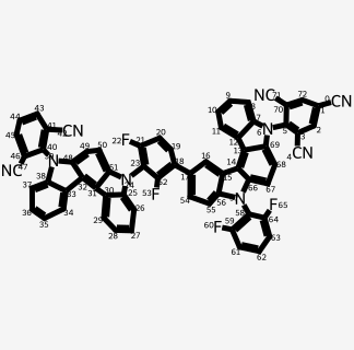 N#Cc1cc(C#N)c(-n2c3ccccc3c3c4c5cc(-c6ccc(F)c(-n7c8ccccc8c8c9c%10ccccc%10n(-c%10c(C#N)cccc%10C#N)c9ccc87)c6F)ccc5n(-c5c(F)cccc5F)c4ccc32)c(C#N)c1